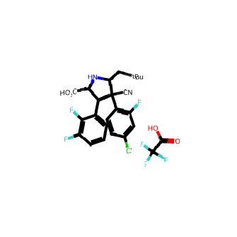 CC(C)(C)CC1NC(C(=O)O)C(c2cccc(F)c2F)C1(C#N)c1ccc(Cl)cc1F.O=C(O)C(F)(F)F